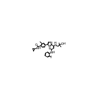 Cc1cc(-c2cnc3c(NCC(C)(C)O)cc(Nc4ccccc4F)nn23)ccc1C(=O)NC1CC1